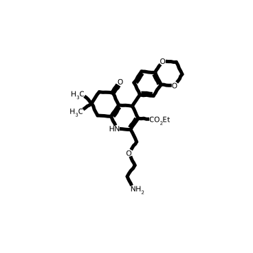 CCOC(=O)C1=C(COCCN)NC2=C(C(=O)CC(C)(C)C2)C1c1ccc2c(c1)OCCO2